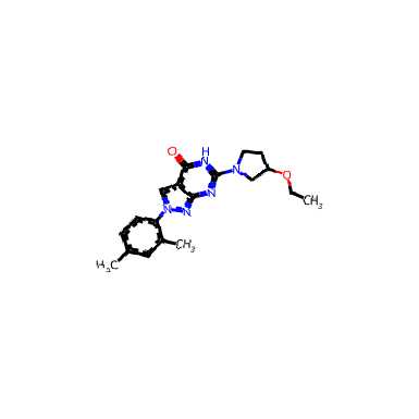 CCOC1CCN(c2nc3nn(-c4ccc(C)cc4C)cc3c(=O)[nH]2)C1